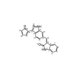 O=C1Nc2ccccc2C1=Cc1ccc2c(-c3ccc[nH]3)n[nH]c2c1